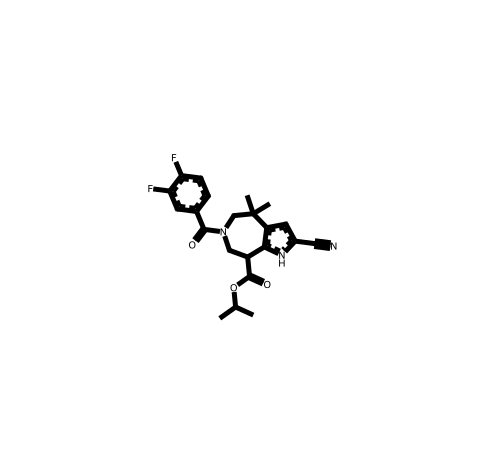 CC(C)OC(=O)C1CN(C(=O)c2ccc(F)c(F)c2)CC(C)(C)c2cc(C#N)[nH]c21